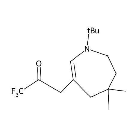 CC1(C)CCN(C(C)(C)C)C=C(CC(=O)C(F)(F)F)C1